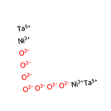 [Ni+2].[Ni+2].[O-2].[O-2].[O-2].[O-2].[O-2].[O-2].[O-2].[Ta+5].[Ta+5]